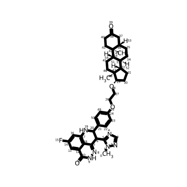 Cn1ncnc1C1c2n[nH]c(=O)c3cc(F)cc(c23)NC1c1ccc(OCCO[C@H]2CC[C@H]3[C@@H]4CC[C@H]5CC(=O)CC[C@]5(C)[C@H]4CC[C@]23C)cc1